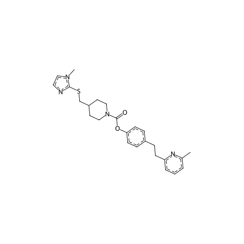 Cc1cccc(CCc2ccc(OC(=O)N3CCC(CSc4nccn4C)CC3)cc2)n1